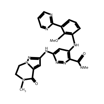 CNC(=O)c1nnc(Nc2cc3n(n2)CCN(C)C3=O)cc1Nc1cccc(-c2ncccn2)c1OC